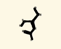 COC(=CC(C)=O)OC